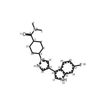 CN(C)C(=O)C1CCC(n2cc(-c3c[nH]c4cc(F)ccc34)cn2)CC1